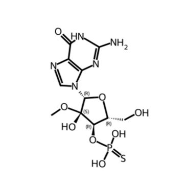 CO[C@@]1(O)[C@H](OP(O)(O)=S)[C@@H](CO)O[C@H]1n1cnc2c(=O)[nH]c(N)nc21